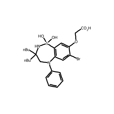 CCCCC1(CCCC)CN(c2ccccc2)c2cc(Br)c(OCC(=O)O)cc2S(O)(O)N1